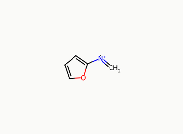 C=[N+]c1ccco1